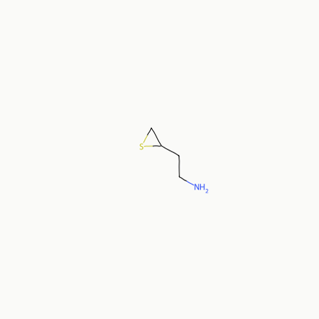 NCCC1CS1